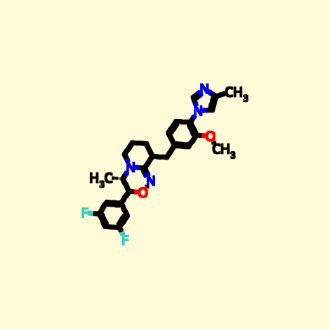 COc1cc(CC2CCCN3C2=NOC(c2cc(F)cc(F)c2)[C@@H]3C)ccc1-n1cnc(C)c1